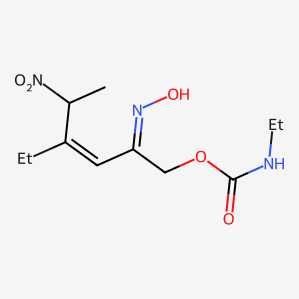 CCNC(=O)OCC(C=C(CC)C(C)[N+](=O)[O-])=NO